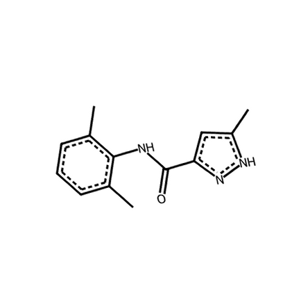 Cc1cc(C(=O)Nc2c(C)cccc2C)n[nH]1